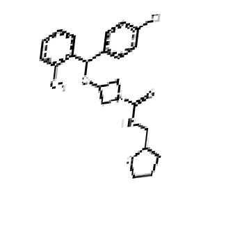 FC(F)(F)c1ccccc1C(OC1CN(C(=S)NCC2CCCO2)C1)c1ccc(Cl)cc1